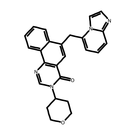 O=c1c2cc(Cc3cccc4nccn34)c3ccccc3c2ncn1C1CCOCC1